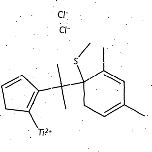 CSC1(C(C)(C)C2=[C]([Ti+2])CC=C2)CC=C(C)C=C1C.[Cl-].[Cl-]